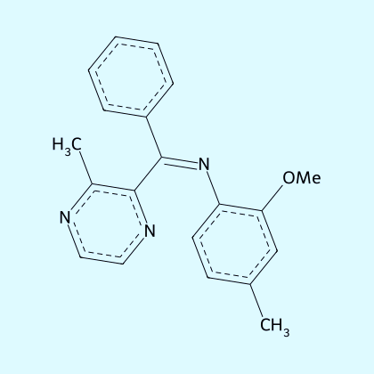 COc1cc(C)ccc1N=C(c1ccccc1)c1nccnc1C